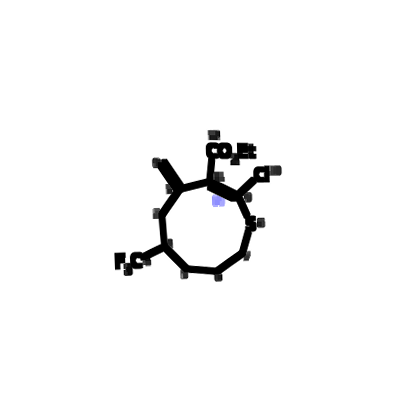 C=C1CC(C(F)(F)F)CCCS/C(Cl)=C\1C(=O)OCC